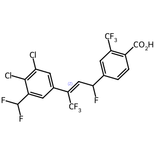 O=C(O)c1ccc(C(F)/C=C(/c2cc(Cl)c(Cl)c(C(F)F)c2)C(F)(F)F)cc1C(F)(F)F